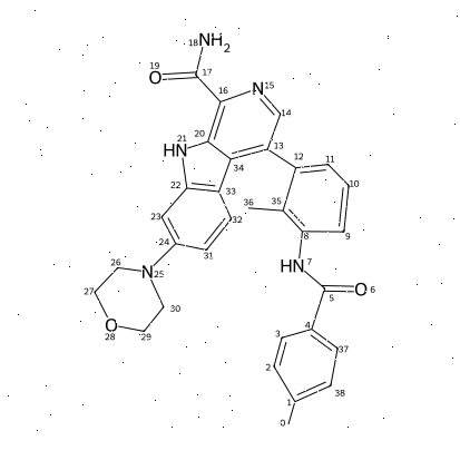 Cc1ccc(C(=O)Nc2cccc(-c3cnc(C(N)=O)c4[nH]c5cc(N6CCOCC6)ccc5c34)c2C)cc1